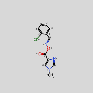 Cn1cnc(C(=O)ON=Cc2ccccc2Cl)c1